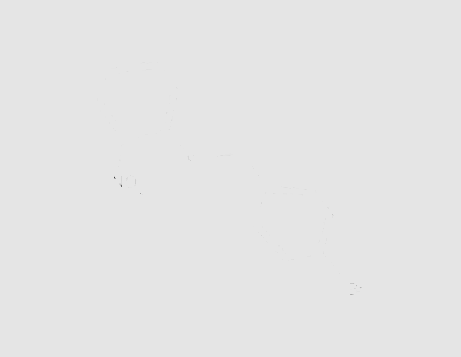 O=[N+]([O-])c1c[c]ccc1SCc1ccc(Br)cc1